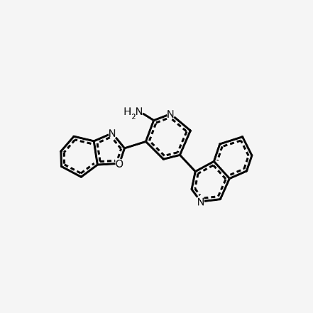 Nc1ncc(-c2cncc3ccccc23)cc1-c1nc2ccccc2o1